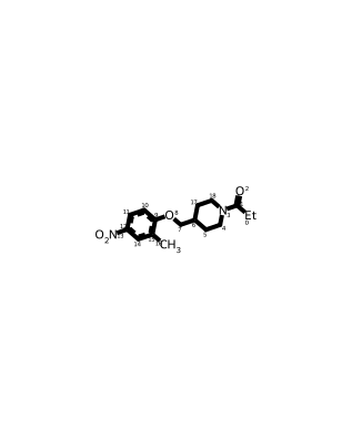 CCC(=O)N1CCC(COc2ccc([N+](=O)[O-])cc2C)CC1